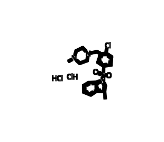 Cc1cn(S(=O)(=O)c2ccc(Cl)c(CN3CCN(C)CC3)c2)c2ccccc12.Cl.Cl